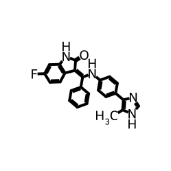 Cc1[nH]cnc1-c1ccc(N/C(=C2\C(=O)Nc3cc(F)ccc32)c2ccccc2)cc1